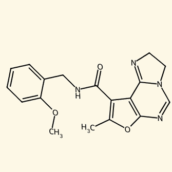 COc1ccccc1CNC(=O)c1c(C)oc2c1C1=NCCN1C=N2